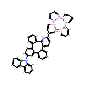 C1=CB2N(C=C1)B1C=CC=CN1B1C=CC(c3ccc4c(n3)-c3ccccc3-c3ccc(-n5c6ccccc6c6ccccc65)cc3-c3ccccc3-4)=CN1B1C=CC=CN21